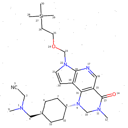 CN(CC#N)C[C@H]1CC[C@H](N2CN(C)C(=O)c3cnc4c(ccn4COCC[Si](C)(C)C)c32)CC1